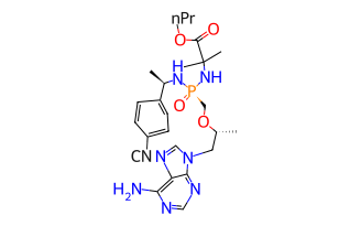 CCCOC(=O)C(C)(C)N[P@@](=O)(CO[C@H](C)Cn1cnc2c(N)ncnc21)N[C@H](C)c1ccc(C#N)cc1